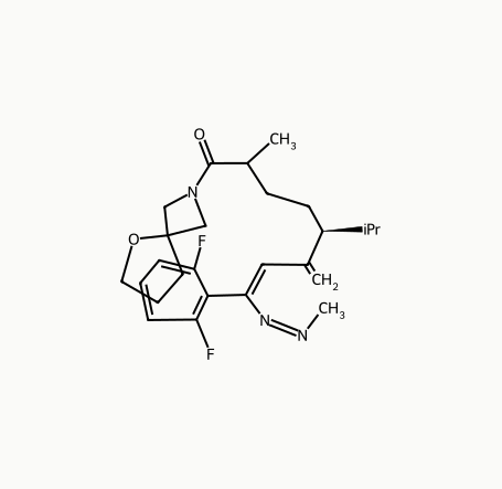 C=C(/C=C(\N=N/C)c1c(F)cccc1F)[C@@H](CCC(C)C(=O)N1CC2(CCCO2)C1)C(C)C